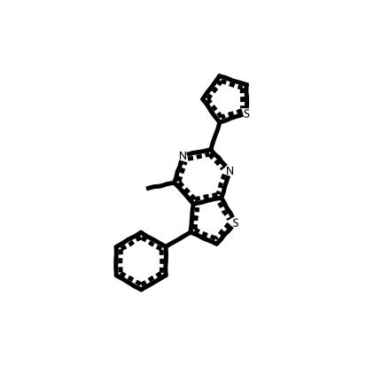 Cc1nc(-c2cccs2)nc2scc(-c3ccccc3)c12